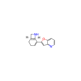 C1=C(c2cc3ncccc3o2)[C@@H]2NC[C@@H]2CC1